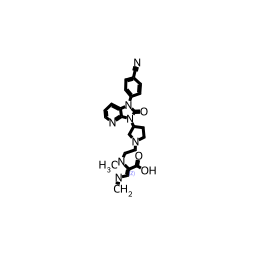 C=N/C=C(/C(=O)O)N(C)CCN1CCC(n2c(=O)n(-c3ccc(C#N)cc3)c3cccnc32)C1